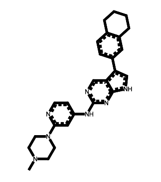 CN1CCN(c2cc(Nc3ncc4c(-c5ccc6c(c5)CCCC6)c[nH]c4n3)ccn2)CC1